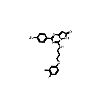 Cc1cc(OCCCNc2nc(-c3ccc(C(C)(C)C)cc3)nc3cc(=O)[nH]n23)ccc1F